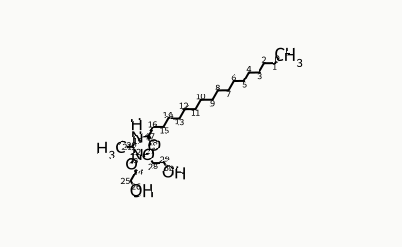 CCCCCCCCCCCCCCCCCC(=O)NC(C)N(OCCO)OCCO